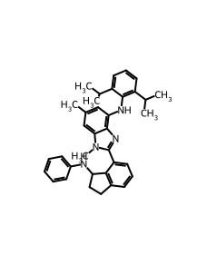 Cc1cc(Nc2c(C(C)C)cccc2C(C)C)c2nc(-c3cccc4c3C(Nc3ccccc3)CC4)n(C)c2c1